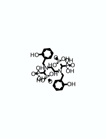 O=P(O)(O)C(N(CCN(Cc1ccccc1O)C(P(=O)(O)O)P(=O)(O)O)Cc1ccccc1O)P(=O)(O)O